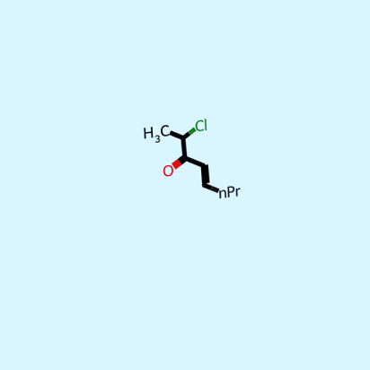 CCCC=CC(=O)C(C)Cl